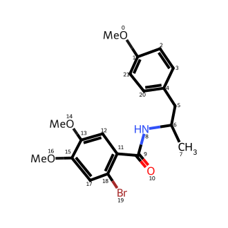 COc1ccc(CC(C)NC(=O)c2cc(OC)c(OC)cc2Br)cc1